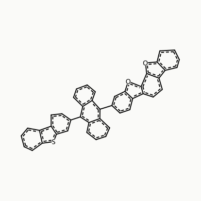 c1ccc2c(c1)oc1c2ccc2c3ccc(-c4c5ccccc5c(-c5ccc6c(c5)sc5ccccc56)c5ccccc45)cc3oc21